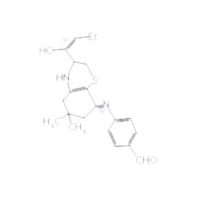 CC/C=C(/O)C1CSC2=C(CC(C)(C)C/C2=N\c2ccc(C=O)cc2)N1